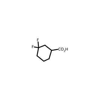 O=C(O)C1CCCC(F)(F)C1